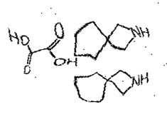 C1CCC2(C1)CNC2.C1CCC2(C1)CNC2.O=C(O)C(=O)O